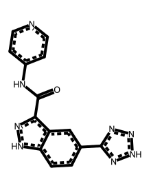 O=C(Nc1ccncc1)c1n[nH]c2ccc(-c3nn[nH]n3)cc12